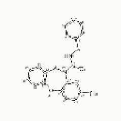 O=C(NCc1ccncc1)N1Cc2ccccc2Oc2ccc(Cl)cc21